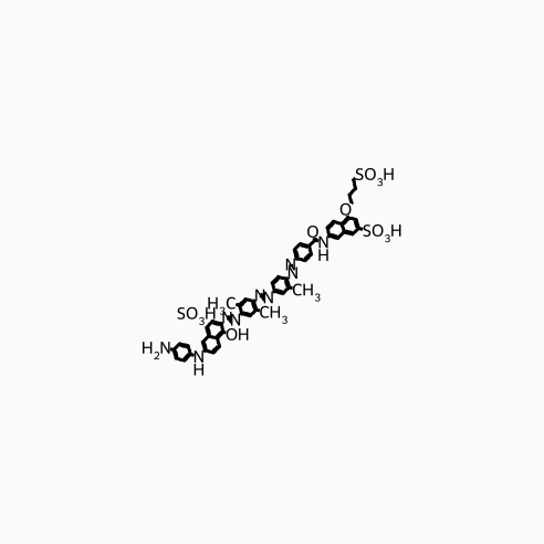 Cc1cc(N=Nc2cc(C)c(N=Nc3c(S(=O)(=O)O)cc4cc(Nc5ccc(N)cc5)ccc4c3O)cc2C)ccc1N=Nc1ccc(C(=O)Nc2ccc3c(OCCCCS(=O)(=O)O)cc(S(=O)(=O)O)cc3c2)cc1